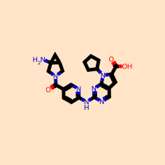 NC12CC1CN(C(=O)c1ccc(Nc3ncc4cc(C(=O)O)n(C5CCCC5)c4n3)nc1)C2